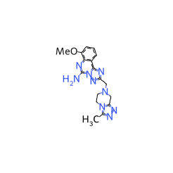 COc1cccc2c1nc(N)n1nc(CN3CCn4c(C)nnc4C3)nc21